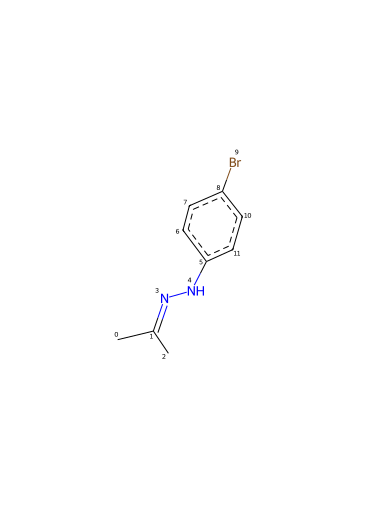 CC(C)=NNc1ccc(Br)cc1